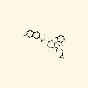 Cc1ccc2ccc(C(=O)N[C@@H]3CC[C@@]4(O)C(C)N(CC5CC5)CC[C@@]45c4c(C)ccc(O)c4O[C@@H]35)cc2c1